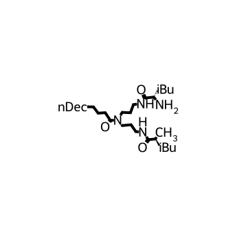 CCCCCCCCCCCCCC(=O)N(CCCNC(=O)[C@@H](C)C(C)CC)CCCNC(=O)[C@@H](N)C(C)CC